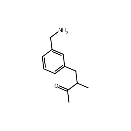 CC(=O)C(C)Cc1cccc(CN)c1